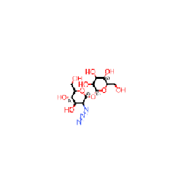 [N-]=[N+]=NC1C(O)[C@H](O)C(CO)O[C@@H]1O[C@H]1OC(CO)[C@@H](O)C(O)C1O